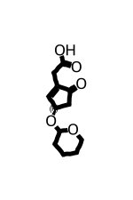 O=C(O)CC1=C[C@H](OC2CCCCO2)CC1=O